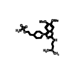 COc1cc2nc(NCCN(C)C)nc(N3CCC(CCOS(N)(=O)=O)CC3)c2cc1OC